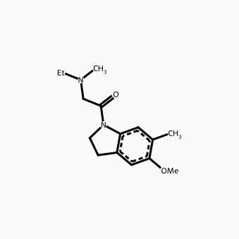 CCN(C)CC(=O)N1CCc2cc(OC)c(C)cc21